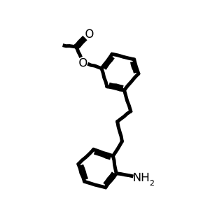 CC(=O)Oc1cccc(CCCc2ccccc2N)c1